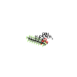 CC(C)[Si](OS(=O)(=O)C(F)(F)C(F)(F)C(F)(F)C(F)(F)C(F)(F)C(F)(F)C(F)(F)C(F)(F)F)(C(C)C)C(C)C